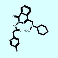 O=C(Cc1ccc(Cl)cc1)Nn1nc(CN(C(=O)O)C2CCCCC2)c2ccccc2c1=O